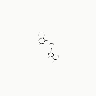 Nc1ncnc2c1c(F)cn2C1C[C@H](Oc2cc(Cl)cc3c2CNCC3)CO1